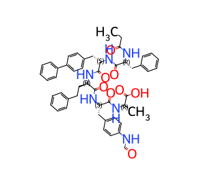 CCC(=O)N[C@H](Cc1ccccc1)C(=O)N[C@@H](Cc1ccc(-c2ccccc2)cc1)C(=O)N[C@H](CCc1ccccc1)C(=O)N[C@@H](Cc1ccc(NC=O)cc1)C(=O)N[C@H](C)C(=O)O